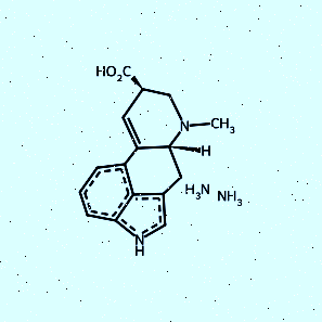 CN1C[C@H](C(=O)O)C=C2c3cccc4[nH]cc(c34)C[C@H]21.N.N